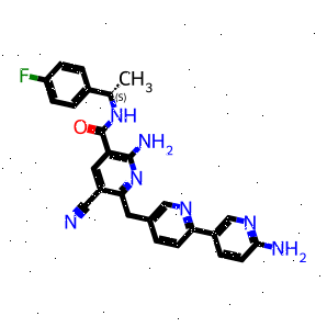 C[C@H](NC(=O)c1cc(C#N)c(Cc2ccc(-c3ccc(N)nc3)nc2)nc1N)c1ccc(F)cc1